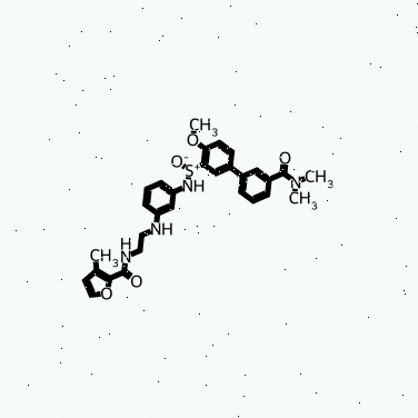 COc1ccc(-c2cccc(C(=O)N(C)C)c2)cc1[S+]([O-])Nc1cccc(NCCNC(=O)c2occc2C)c1